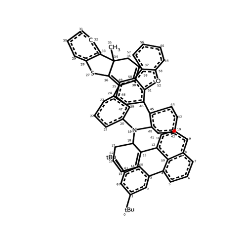 CC(C)(C)c1cc(-c2cccc3cccc(C4=CC=CCC4N(c4cccc(C5=C6Sc7ccccc7C6(C)CC=C5)c4)c4ccccc4-c4cccc5c4oc4ccccc45)c23)cc(C(C)(C)C)c1